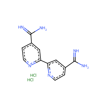 Cl.Cl.N=C(N)c1ccnc(-c2cc(C(=N)N)ccn2)c1